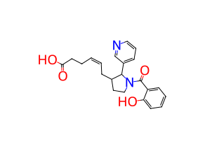 O=C(O)CC/C=C\CC1CCN(C(=O)c2ccccc2O)C1c1cccnc1